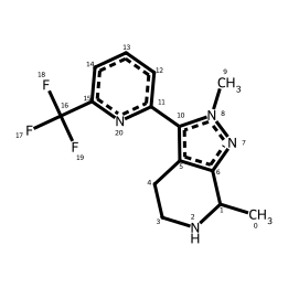 CC1NCCc2c1nn(C)c2-c1cccc(C(F)(F)F)n1